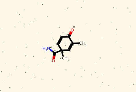 CC1=CC(C)(C(N)=O)C=CC1=O